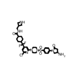 N[C@@H]1CC(=O)N(c2ccc(S(=O)(=O)N3CCN(c4cc(C(F)(F)C5CCC(C(=O)NCC6CNC6)CC5)cc(Cl)n4)CC3)cc2)C1